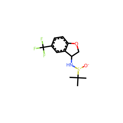 CC(C)(C)[S+]([O-])NC1COc2ccc(C(F)(F)F)cc21